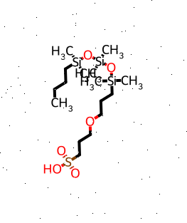 CCCC[Si](C)(C)O[Si](C)(C)O[Si](C)(C)CCCOCCCS(=O)(=O)O